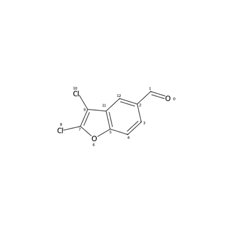 O=Cc1ccc2oc(Cl)c(Cl)c2c1